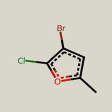 Cc1cc(Br)c(Cl)o1